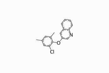 Cc1cc(C)c(Oc2cnc3ccccc3c2)c(Cl)c1